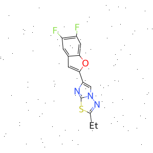 CCc1nn2cc(-c3cc4cc(F)c(F)cc4o3)nc2s1